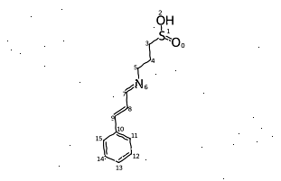 O=S(O)CCC/N=C/C=C/c1ccccc1